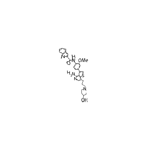 COc1cc(-c2csc3c(CCCN4CCC(O)CC4)cnc(N)c23)ccc1NC(=O)c1cc2ccccc2n1C